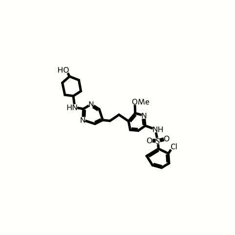 COc1nc(NS(=O)(=O)c2ccccc2Cl)ccc1CCc1cnc(NC2CCC(O)CC2)nc1